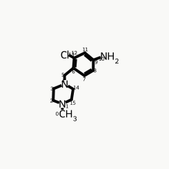 CN1CCN(Cc2ccc(N)cc2Cl)CC1